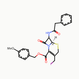 COc1ccc(COC(=O)C2=C(CI)CS[C@@H]3C(NC(=O)Cc4ccccc4)C(=O)N23)cc1